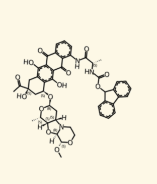 CO[C@H]1OCCN2[C@@H]1O[C@@H]1[C@H](C)O[C@@H](O[C@H]3C[C@](O)(C(C)=O)Cc4c(O)c5c(c(O)c43)C(=O)c3c(NC(=O)[C@H](C)NC(=O)OC4c6ccccc6-c6ccccc64)cccc3C5=O)C[C@@H]12